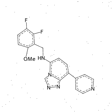 COc1ccc(F)c(F)c1CNc1ccc(-c2ccncc2)c2nncn12